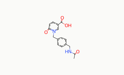 CC(=O)NCc1ccc(Cn2cc(C(=O)O)ccc2=O)cc1